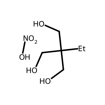 CCC(CO)(CO)CO.O=[N+]([O-])O